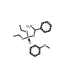 CCOP(=O)(OCC)OC(N)c1ccccc1.COc1ccccc1